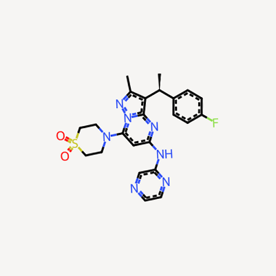 Cc1nn2c(N3CCS(=O)(=O)CC3)cc(Nc3cnccn3)nc2c1[C@@H](C)c1ccc(F)cc1